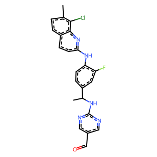 Cc1ccc2ccc(Nc3ccc(C(C)Nc4ncc(C=O)cn4)cc3F)nc2c1Cl